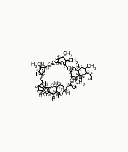 C=C1C2C[C@@H]3O[C@H]4C[C@@H](C)[C@@H](CI)O[C@H]4[C@H](C)[C@H]3OC(=O)C[C@H]3CC[C@@H]4OC5C6O[C@@H]7C[C@](CC[C@H]8CC(=C)[C@H](CC[C@@H](C[C@H]1C)O2)O8)(O[C@H]6[C@H]4O3)O[C@@H]57